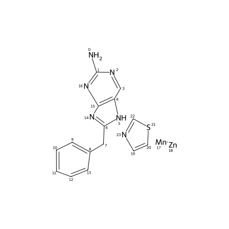 Nc1ncc2[nH]c(Cc3ccccc3)nc2n1.[Mn].[Zn].c1cscn1